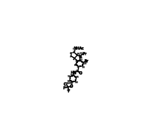 CC(=O)NC1CCC2c3cc(C(=O)Nc4ccc(OC(F)(F)Cl)cc4)cc(Br)c3N(C(C)C)C12